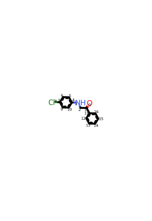 O=C(CNc1ccc(Cl)cc1)c1ccccc1